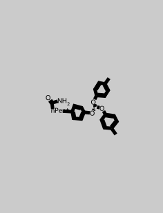 CCCCCC(N)=O.Cc1ccc(OP(Oc2ccc(C)cc2)Oc2ccc(C)cc2)cc1